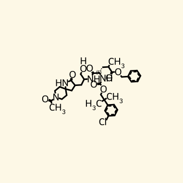 CC(=O)N1CCC2(CC1)CC(CC(CO)NC(=O)[C@H](CC(C)C(=O)OCc1ccccc1)NC(=O)OCC(C)(C)c1cccc(Cl)c1)C(=O)N2